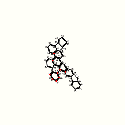 c1ccc(-c2ccccc2-c2c(-c3ccccc3)cccc2-c2ccccc2N(c2ccc(-c3cccc4c3oc3ccccc34)cc2)c2ccc3oc4ccccc4c3c2)cc1